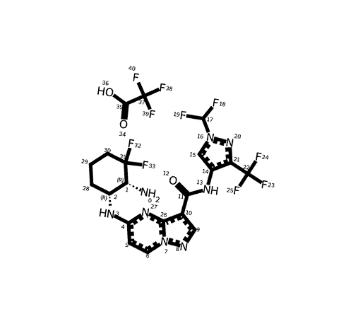 N[C@@H]1[C@H](Nc2ccn3ncc(C(=O)Nc4cn(C(F)F)nc4C(F)(F)F)c3n2)CCCC1(F)F.O=C(O)C(F)(F)F